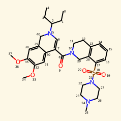 CCC(CC)N1C=C(C(=O)N2CCc3cccc(S(=O)(=O)N4CCN(C)CC4)c3C2)c2cc(OC)c(OC)cc2C1